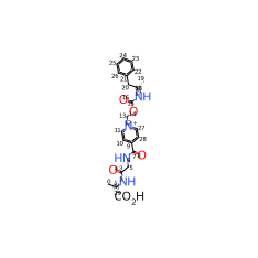 C[C@H](NC(=O)CNC(=O)c1cc[n+](COC(=O)N[C@@H](C)Cc2ccccc2)cc1)C(=O)O